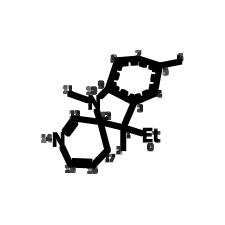 CCC1(C)c2cc(C)ccc2N(C)C12C=NC=CC2